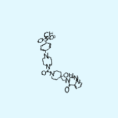 CS(=O)(=O)c1ccc(N2CCN(C(=O)N3CCC(O)(Cn4cnn5cccc5c4=O)CC3)CC2)cc1